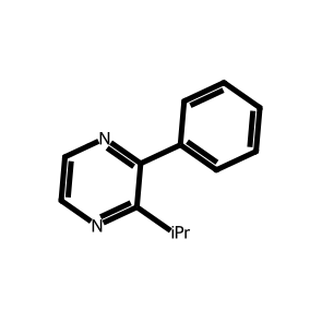 CC(C)c1nccnc1-c1ccccc1